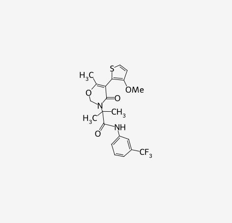 COc1ccsc1C1=C(C)OCN(C(C)(C)C(=O)Nc2cccc(C(F)(F)F)c2)C1=O